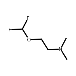 CN(C)CCOC(F)F